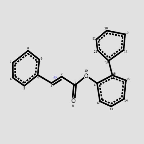 O=C(/C=C/c1ccccc1)Oc1ccccc1-c1ccccc1